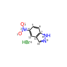 Br.O=[N+]([O-])c1ccc2[nH]ncc2c1